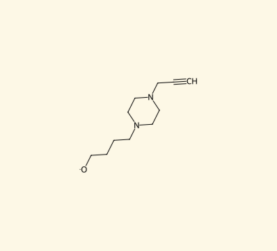 C#CCN1CCN(CCCC[O])CC1